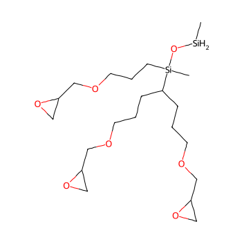 C[SiH2]O[Si](C)(CCCOCC1CO1)C(CCCOCC1CO1)CCCOCC1CO1